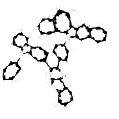 c1ccc(-n2c3ccccc3c3ccc(-c4nc5oc6ccccc6c5nc4-c4ccc(-n5c6cc7ccccc7cc6c6ccc7ccccc7c65)cc4)cc32)cc1